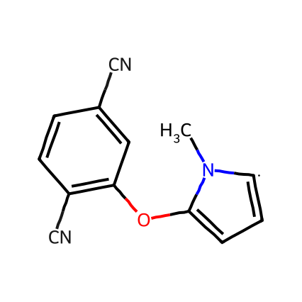 Cn1[c]ccc1Oc1cc(C#N)ccc1C#N